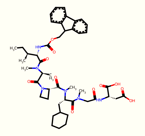 CC[C@H](C)[C@H](NC(=O)OCC1c2ccccc2-c2ccccc21)C(=O)N(C)[C@@H](C)C(=O)N1CC[C@H]1C(=O)N(C)[C@@H](CC1CCCCC1)C(=O)N(C)CC(=O)N[C@@H](CC(=O)O)C(=O)O